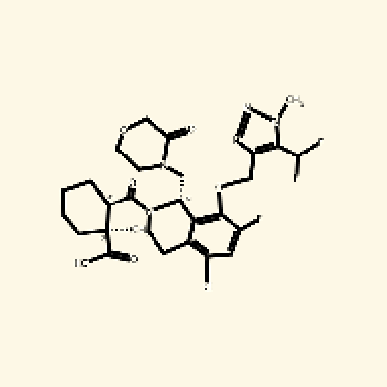 Cn1nnc(COc2c(F)cc(Cl)c3c2[C@@H](CN2CCOCC2=O)N(C(=O)[C@@H]2CCCC[C@]2(C)C(=O)O)CC3)c1C(F)F